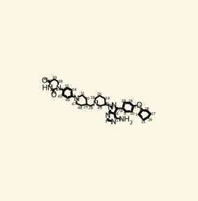 Nc1ncnc2c1c(-c1ccc(Oc3ccccc3)cc1)nn2[C@@H]1CCCN(CC2CCN(c3ccc(N4CCC(=O)NC4=O)cc3)CC2)C1